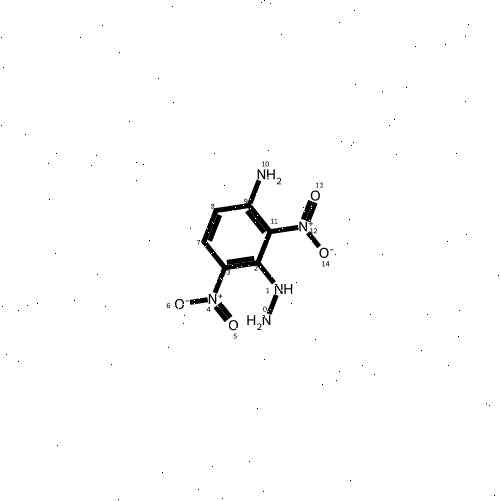 NNc1c([N+](=O)[O-])ccc(N)c1[N+](=O)[O-]